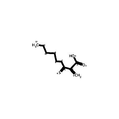 C=C(C(=O)O)C(=S)CCCCCC